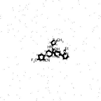 CCOc1ncccc1-c1ccc(C2(C(O)N[C@@H]3CCN(C)C3)CCN(c3ccc(C(F)(F)F)cc3C#N)CC2)cn1